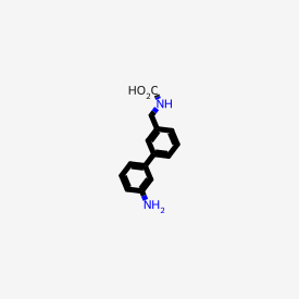 Nc1cccc(-c2cccc(CNC(=O)O)c2)c1